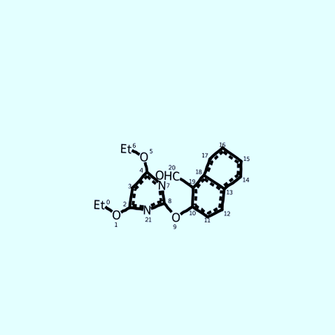 CCOc1cc(OCC)nc(Oc2ccc3ccccc3c2C=O)n1